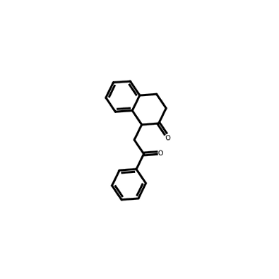 O=C(CC1C(=O)CCc2ccccc21)c1ccccc1